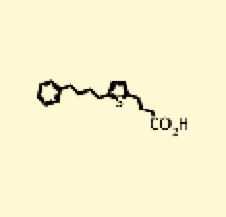 O=C(O)CCCc1ccc(CCCCc2ccccc2)s1